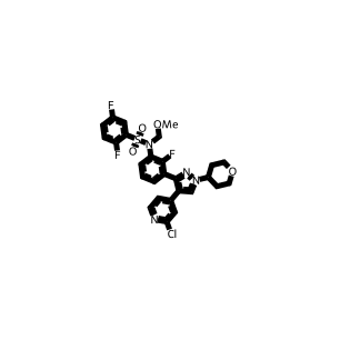 COCN(c1cccc(-c2nn(C3CCOCC3)cc2-c2ccnc(Cl)c2)c1F)S(=O)(=O)c1cc(F)ccc1F